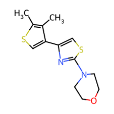 Cc1scc(-c2csc(N3CCOCC3)n2)c1C